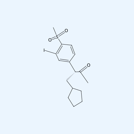 CC(=O)[C@H](CC1CCCC1)c1ccc(S(C)(=O)=O)c(I)c1